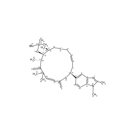 Cc1nc2cc([C@@H]3CC=CCCC[C@H](C)[C@H](O[Si](C)(C)C(C)(C)C)[C@@H](C)C(=O)C(C)(C)C=CC(=O)O3)ccc2n1C